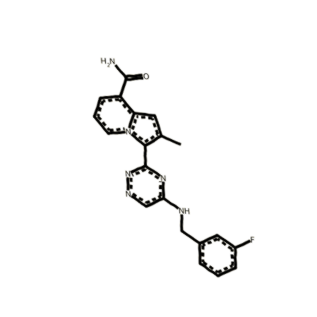 Cc1cc2c(C(N)=O)cccn2c1-c1nncc(NCc2cccc(F)c2)n1